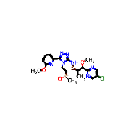 COc1cccc(-c2nnc(NSC(C)C(OC)c3ncc(Cl)cn3)n2CC[S+](C)[O-])n1